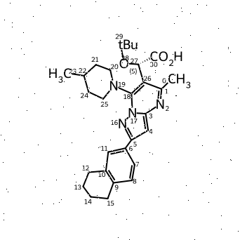 Cc1nc2cc(-c3ccc4c(c3)CCCC4)nn2c(N2CCC(C)CC2)c1[C@H](OC(C)(C)C)C(=O)O